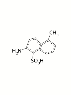 Cc1cccc2c(S(=O)(=O)O)c(N)ccc12